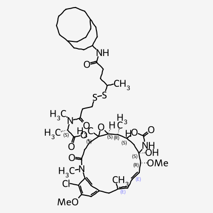 COc1cc2cc(c1Cl)N(C)C(=O)C[C@H](OC(=O)[C@H](C)N(C)C(=O)CCSSC(C)CCC(=O)NC1CCC3CCCCCCC(CCC3)CC1)C1(C)O[C@H]1[C@H](C)[C@@H]1C[C@@](O)(NC(=O)O1)[C@H](OC)/C=C/C=C(\C)C2